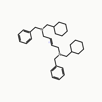 C(=C\CN(Cc1ccccc1)CC1CCCCC1)/CN(Cc1ccccc1)CC1CCCCC1